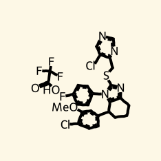 COc1cc(C2CCCc3nc(SCc4ncncc4Cl)n(-c4ccc(F)cc4)c32)ccc1Cl.O=C(O)C(F)(F)F